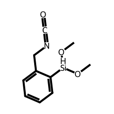 CO[SiH](OC)c1ccccc1CN=C=O